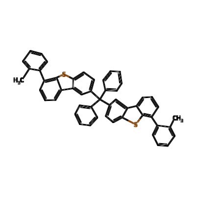 Cc1ccccc1-c1cccc2c1sc1ccc(C(c3ccccc3)(c3ccccc3)c3ccc4sc5c(-c6ccccc6C)cccc5c4c3)cc12